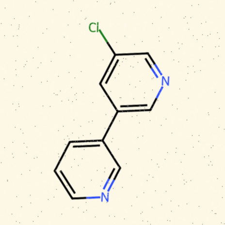 Clc1cncc(-c2cccnc2)c1